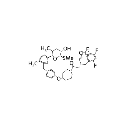 C/C=C/[C@@H](CC(=O)C1CCCC(Oc2ccc(Cc3cc([C@@H]4O[C@H](SC)[C@@H](O)CC4C)ccc3C)cc2)CC1)Cc1cc(F)c(F)cc1F